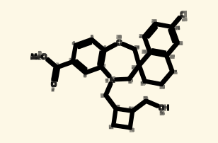 COC(=O)c1ccc2c(c1)N(CC1CCC1CO)CC1(CCCc3cc(Cl)ccc31)CO2